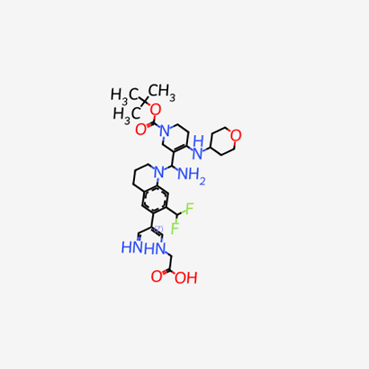 CC(C)(C)OC(=O)N1CCC(NC2CCOCC2)=C(C(N)N2CCCc3cc(/C(C=N)=C/NCC(=O)O)c(C(F)F)cc32)C1